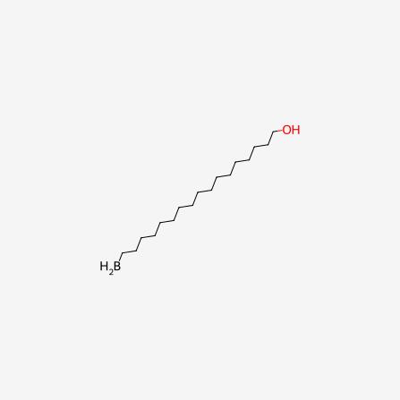 BCCCCCCCCCCCCCCCCCO